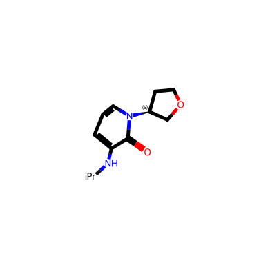 CC(C)Nc1cccn([C@H]2CCOC2)c1=O